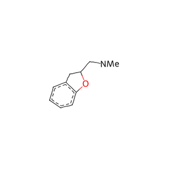 CNCC1Cc2ccccc2O1